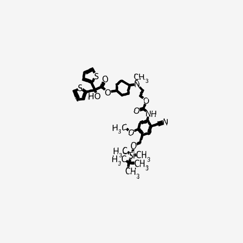 COc1cc(NC(=O)OCCN(C)C2CCC(OC(=O)C(O)(c3cccs3)c3cccs3)CC2)c(C#N)cc1CO[Si](C)(C)C(C)(C)C